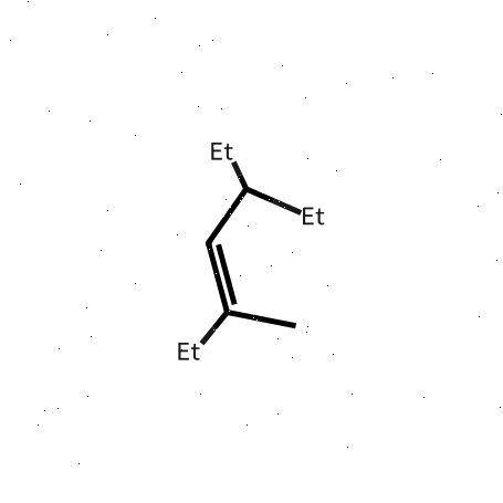 CCC(C)=CC(CC)CC